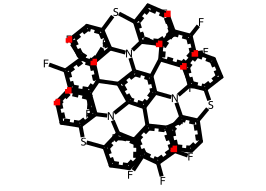 Fc1c(F)c(F)c(-c2c(N3c4ccccc4Sc4ccccc43)c(-c3c(F)c(F)c(F)c(F)c3F)c(N3c4ccccc4Sc4ccccc43)c(-c3c(F)c(F)c(F)c(F)c3F)c2N2c3ccccc3Sc3ccccc32)c(F)c1F